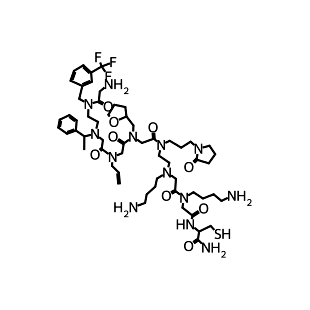 C=CCN(CC(=O)N(CC(=O)N(CCCN1CCCC1=O)CCN(CCCCN)CC(=O)N(CCCCN)CC(=O)NC(CS)C(N)=O)CC1CCCO1)C(=O)CN(CCN(Cc1cccc(C(F)(F)F)c1)C(=O)CN)C(C)c1ccccc1